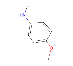 [CH]Nc1ccc(OC)cc1